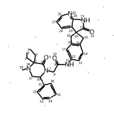 CCC1(CC)C(=O)N(CC(=O)Nc2ccc3c(c2)CC2(C3)C(=O)Nc3ncccc32)C(c2ccccc2)CN1C